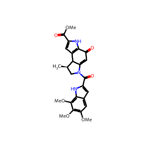 COC(=O)c1cc2c([nH]1)C(=O)C=C1C2[C@H](C)CN1C(=O)c1cc2cc(OC)c(OC)c(OC)c2[nH]1